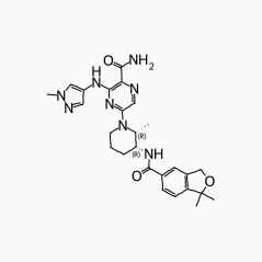 C[C@@H]1[C@H](NC(=O)c2ccc3c(c2)COC3(C)C)CCCN1c1cnc(C(N)=O)c(Nc2cnn(C)c2)n1